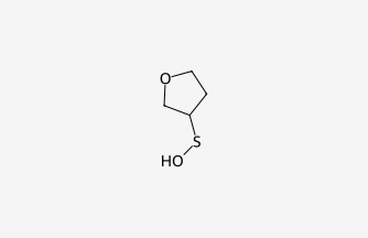 OSC1CCOC1